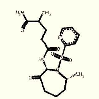 CC(C[CH]C(=O)N[C@@H]1C(=O)CCC[C@@H](C)N1S(=O)(=O)c1ccccn1)C(N)=O